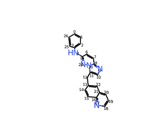 c1ccc(Nc2ccc3ncc(Cc4ccc5ncccc5c4)n3n2)cc1